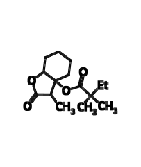 CCC(C)(C)C(=O)OC12CCCCC1OC(=O)C2C